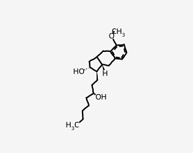 CCCCC[C@H](O)CC[C@H]1[C@H](O)CC2Cc3c(cccc3OC)C[C@@H]21